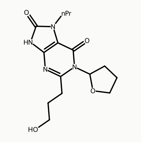 CCCn1c(=O)[nH]c2nc(CCCO)n(C3CCCO3)c(=O)c21